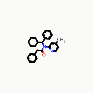 Cc1ccnc(N(C(=O)Cc2ccccc2)C(c2ccccc2)C2CCCCC2)c1